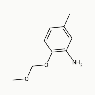 COCOc1ccc(C)cc1N